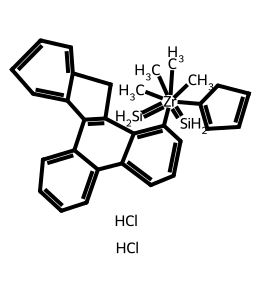 Cl.Cl.[CH3][Zr]([CH3])([CH3])([CH3])(=[SiH2])(=[SiH2])([C]1=CC=CC1)[c]1cccc2c1c1c(c3ccccc32)-c2ccccc2C1